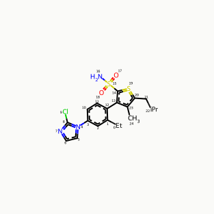 CCc1cc(-n2ccnc2Cl)ccc1-c1c(S(N)(=O)=O)sc(CC(C)C)c1C